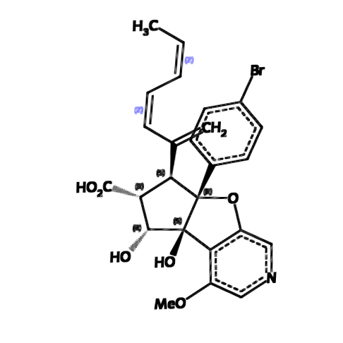 C=C(/C=C\C=C/C)[C@@H]1[C@@H](C(=O)O)[C@@H](O)[C@@]2(O)c3c(OC)cncc3O[C@@]12c1ccc(Br)cc1